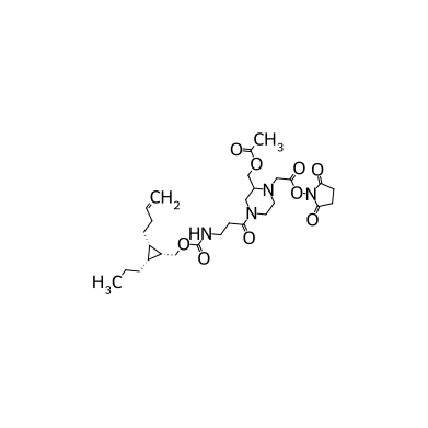 C=CCC[C@H]1[C@@H](CCC)[C@H]1COC(=O)NCCC(=O)N1CCN(CC(=O)ON2C(=O)CCC2=O)C(COC(C)=O)C1